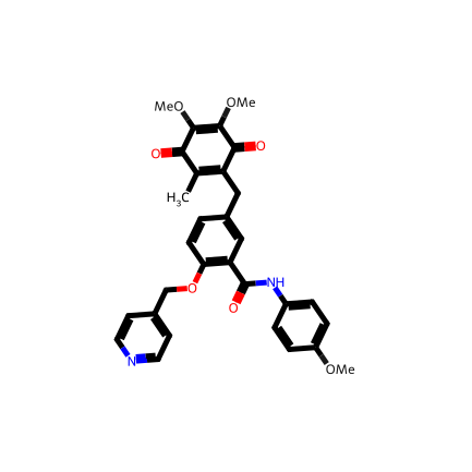 COC1=C(OC)C(=O)C(Cc2ccc(OCc3ccncc3)c(C(=O)Nc3ccc(OC)cc3)c2)=C(C)C1=O